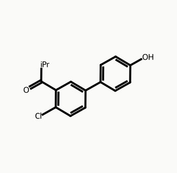 CC(C)C(=O)c1cc(-c2ccc(O)cc2)ccc1Cl